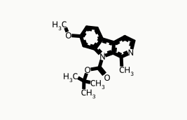 COc1ccc2c3ccnc(C)c3n(C(=O)OC(C)(C)C)c2c1